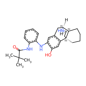 CC(C)(C)C(=O)Nc1ccccc1Nc1cc2c(cc1O)[C@]13CCCC[C@@H]1[C@H](C2)NCC3